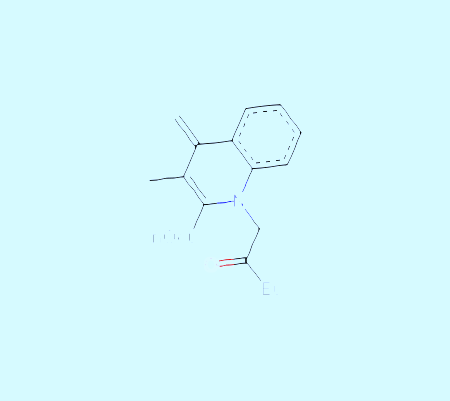 C=C1C(C)=C(CCCCCCCC)N(CC(=O)CC)c2ccccc21